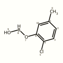 Cc1ccc(Cl)c(OBO)c1